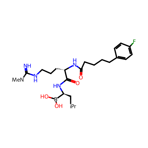 CNC(=N)NCCC[C@H](NC(=O)CCCCc1ccc(F)cc1)C(=O)N[C@@H](CC(C)C)B(O)O